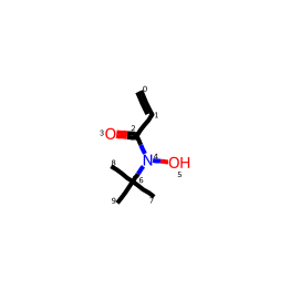 C=CC(=O)N(O)C(C)(C)C